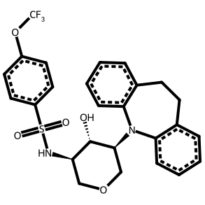 O=S(=O)(N[C@@H]1COC[C@H](N2c3ccccc3CCc3ccccc32)[C@H]1O)c1ccc(OC(F)(F)F)cc1